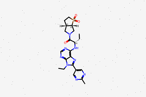 CC[C@H](Nc1ncnc2c1nc(-c1cnc(C)nc1)n2CC)C(=O)N1C[C@@H]2CCS(=O)(=O)[C@@H]2C1